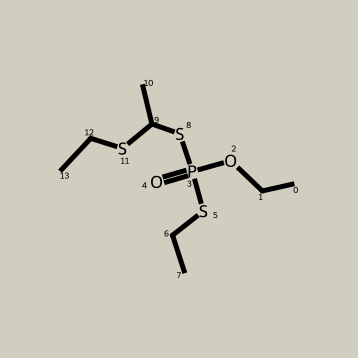 CCOP(=O)(SCC)SC(C)SCC